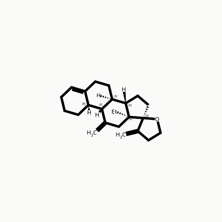 C=C1C[C@@]2(CC)[C@@H](CC[C@@]23OCCC3=C)[C@@H]2CCC3=CCCC[C@@H]3[C@@H]12